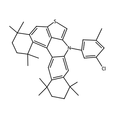 Cc1cc(Cl)cc(N2c3cc4c(cc3-c3c5c(cc6scc2c36)C(C)(C)CCC5(C)C)C(C)(C)CCC4(C)C)c1